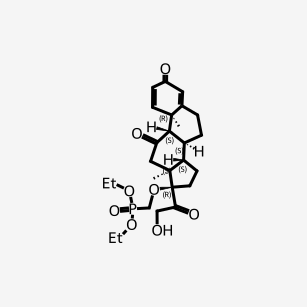 CCOP(=O)(CO[C@]1(C(=O)CO)CC[C@H]2[C@@H]3CCC4=CC(=O)C=C[C@]4(C)[C@H]3C(=O)C[C@@]21C)OCC